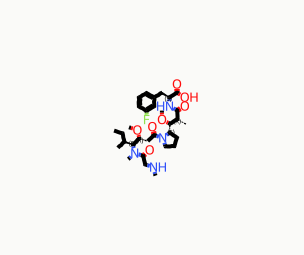 CCC(C)[C@@H]([C@@H](CC(=O)N1CCC[C@H]1C(OC)[C@@H](C)C(=O)N[C@@H](Cc1cccc(F)c1)C(=O)O)OC)N(C)C(=O)CNC